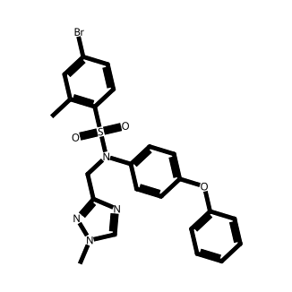 Cc1cc(Br)ccc1S(=O)(=O)N(Cc1ncn(C)n1)c1ccc(Oc2ccccc2)cc1